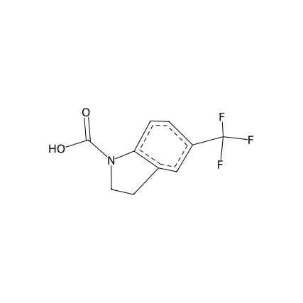 O=C(O)N1CCc2cc(C(F)(F)F)ccc21